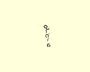 COc1ccc2nccc(C(O)CC[C@@H]3CCN(CCCSc4ccnnc4)C[C@@H]3CO)c2c1